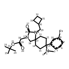 CN(C)C1(c2cccc(F)c2)CCC2(CC1)CN(CC(=O)OC(C)(C)C)C(=O)N2CC1CCC1